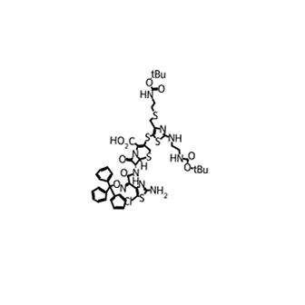 CC(C)(C)OC(=O)NCCNc1nc(CSCCNC(=O)OC(C)(C)C)c(SC2=C(C(=O)O)N3C(=O)[C@@H](NC(=O)/C(=N\OC(c4ccccc4)(c4ccccc4)c4ccccc4)c4nc(N)sc4Cl)[C@H]3SC2)s1